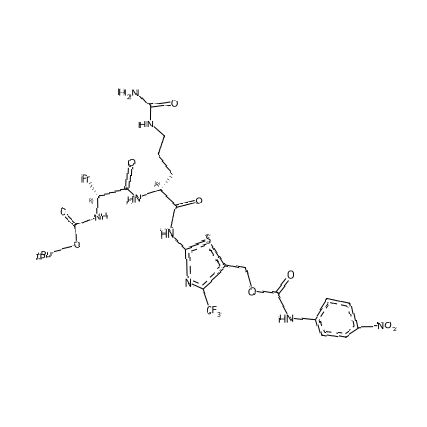 CC(C)[C@@H](NC(=O)OC(C)(C)C)C(=O)N[C@H](CCCNC(N)=O)C(=O)Nc1nc(C(F)(F)F)c(COC(=O)Nc2ccc([N+](=O)[O-])cc2)s1